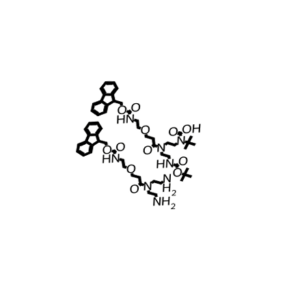 CC(C)(C)OC(=O)NCCN(CCN(C(=O)O)C(C)(C)C)C(=O)CCOCCNC(=O)OCC1c2ccccc2-c2ccccc21.NCCN(CCN)C(=O)CCOCCNC(=O)OCC1c2ccccc2-c2ccccc21